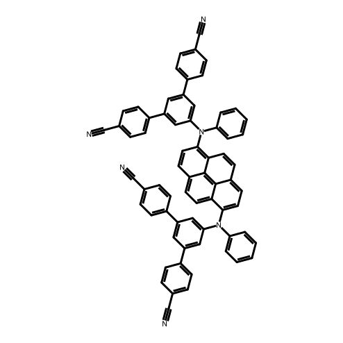 N#Cc1ccc(-c2cc(-c3ccc(C#N)cc3)cc(N(c3ccccc3)c3ccc4ccc5c(N(c6ccccc6)c6cc(-c7ccc(C#N)cc7)cc(-c7ccc(C#N)cc7)c6)ccc6ccc3c4c65)c2)cc1